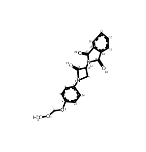 COCOc1ccc(N2CC(N3C(=O)c4ccccc4C3=O)C2=O)cc1